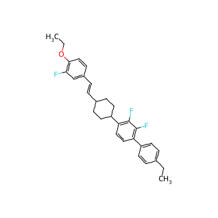 CCOc1ccc(/C=C/C2CCC(c3ccc(-c4ccc(CC)cc4)c(F)c3F)CC2)cc1F